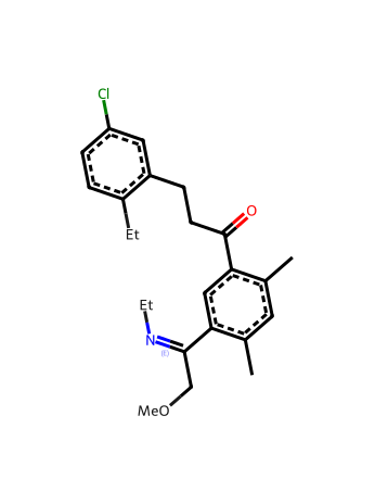 CC/N=C(/COC)c1cc(C(=O)CCc2cc(Cl)ccc2CC)c(C)cc1C